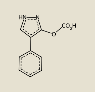 O=C(O)Oc1n[nH]cc1-c1ccccc1